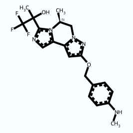 CNc1ccc(COc2cc3n(n2)C[C@H](C)n2c-3cnc2C(C)(O)C(F)(F)F)cc1